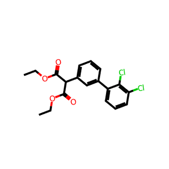 CCOC(=O)C(C(=O)OCC)c1cccc(-c2cccc(Cl)c2Cl)c1